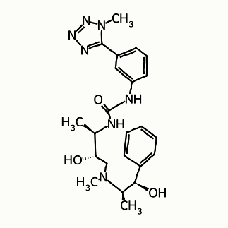 C[C@H]([C@H](O)c1ccccc1)N(C)C[C@H](O)[C@@H](C)NC(=O)Nc1cccc(-c2nnnn2C)c1